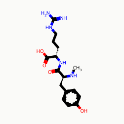 CN[C@@H](Cc1ccc(O)cc1)C(=O)N[C@@H](CCCNC(=N)N)C(=O)O